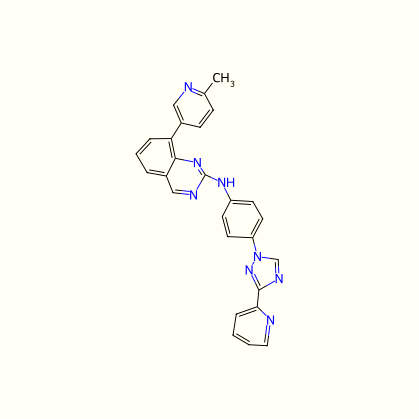 Cc1ccc(-c2cccc3cnc(Nc4ccc(-n5cnc(-c6ccccn6)n5)cc4)nc23)cn1